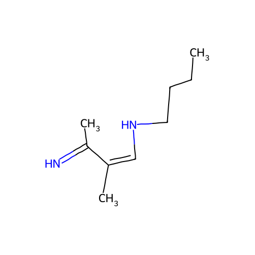 CCCCN/C=C(/C)C(C)=N